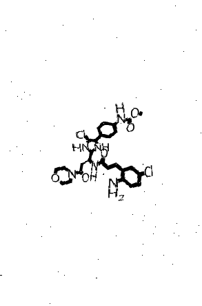 COC(=O)NC1CCC(C2NC([C@H](CC(=O)N3CCOCC3)NC(=O)CCC3CC(Cl)CCC3N)NC2Cl)CC1